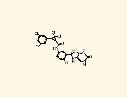 O=C1NC=C(NC(=O)c2cc(NC(=O)C3C(c4cc(Cl)cc(Cl)c4)C3(Cl)Cl)ccc2Cl)C(O)N1